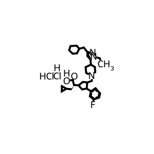 CCn1nc(CC2CCCCC2)cc1C1CCN(CC2CC([C@H](CC3CC3)C(=O)O)CC2c2cccc(F)c2)CC1.Cl.Cl